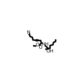 CCCCCCC(C)(O)CCNC(CC#CCCCC#N)C(=O)OCC